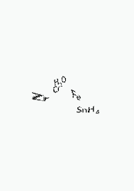 O.[Cr].[Fe].[SnH4].[Zr]